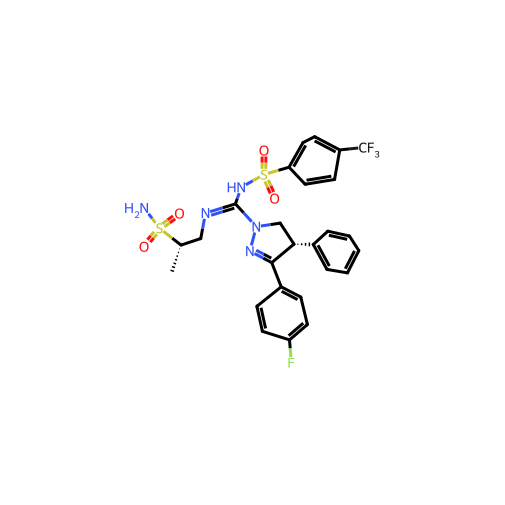 C[C@@H](C/N=C(/NS(=O)(=O)c1ccc(C(F)(F)F)cc1)N1C[C@H](c2ccccc2)C(c2ccc(F)cc2)=N1)S(N)(=O)=O